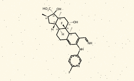 C[C@@H]1C[C@H]2[C@@H]3CCC4=CC(Nc5ccc(F)nc5)=C(C=N)C[C@]4(C)[C@@]3(F)[C@@H](O)C[C@]2(C)[C@@]1(O)C(=O)O